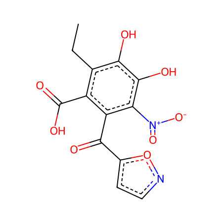 CCc1c(O)c(O)c([N+](=O)[O-])c(C(=O)c2ccno2)c1C(=O)O